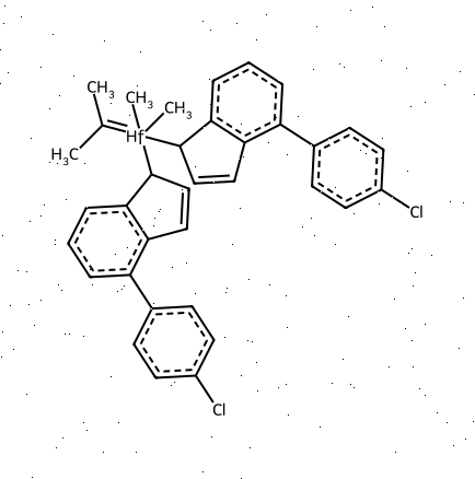 C[C](C)=[Hf]([CH3])([CH3])([CH]1C=Cc2c(-c3ccc(Cl)cc3)cccc21)[CH]1C=Cc2c(-c3ccc(Cl)cc3)cccc21